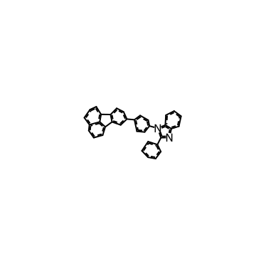 c1ccc(-c2nc3ccccc3n2-c2ccc(-c3ccc4c(c3)-c3cccc5cccc-4c35)cc2)cc1